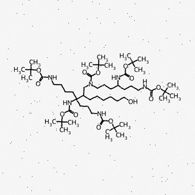 CC(C)(C)OC(=O)NCCCCC(CCCNC(=O)OC(C)(C)C)(NC(=O)OC(C)(C)C)C(CCCCCCO)CN(CCCC(CCCNC(=O)OC(C)(C)C)NC(=O)OC(C)(C)C)C(=O)OC(C)(C)C